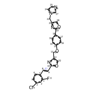 Fc1cc(Cl)ccc1/C=C/c1nc(COc2ccc(-c3nc(Cn4ccnc4)co3)cc2)co1